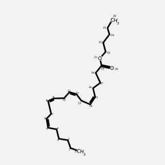 CCCCC/C=C\C/C=C\C/C=C\C/C=C\CCCC(=O)OCCCCC